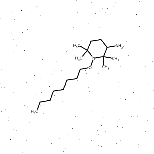 CCCCCCCCON1C(C)(C)CCC(N)C1(C)C